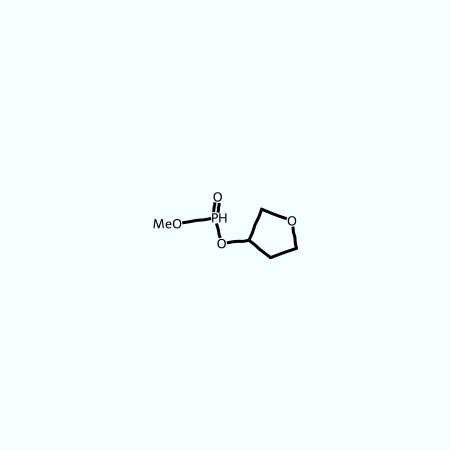 CO[PH](=O)OC1CCOC1